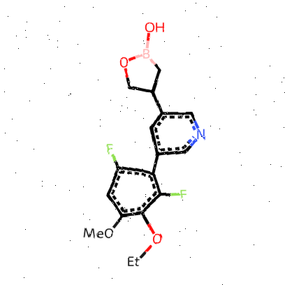 CCOc1c(OC)cc(F)c(-c2cncc(C3COB(O)C3)c2)c1F